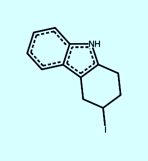 IC1CCc2[nH]c3ccccc3c2C1